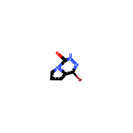 O=c1[nH]nc(Br)c2cccn12